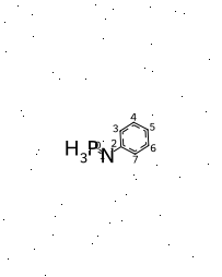 [PH3]=Nc1ccccc1